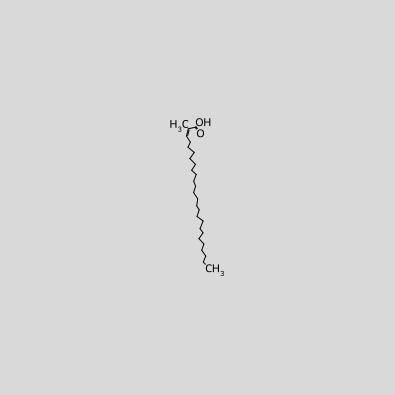 CCCCCCCCCCCCCCCCCCCCCCCC=C(C)C(=O)O